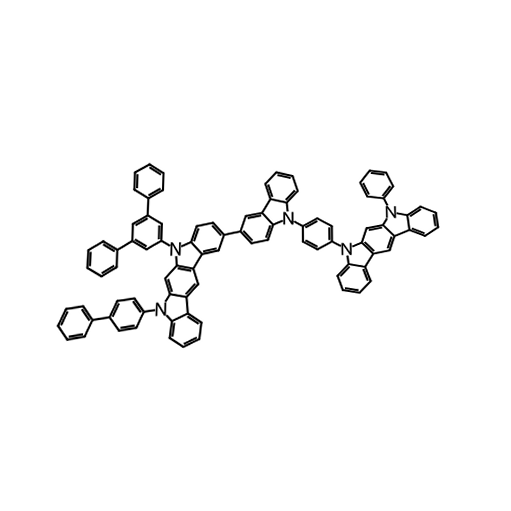 c1ccc(-c2ccc(-n3c4ccccc4c4cc5c6cc(-c7ccc8c(c7)c7ccccc7n8-c7ccc(-n8c9ccccc9c9cc%10c%11ccccc%11n(-c%11ccccc%11)c%10cc98)cc7)ccc6n(-c6cc(-c7ccccc7)cc(-c7ccccc7)c6)c5cc43)cc2)cc1